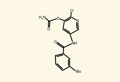 CC(C)(C)c1cccc(C(=O)Nc2cnc(Cl)c(OC(N)=O)c2)c1